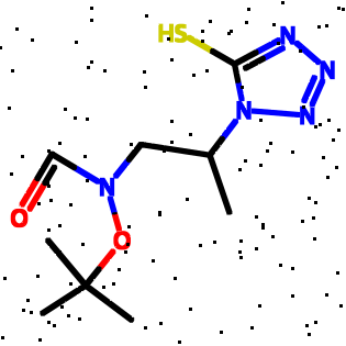 CC(CN(C=O)OC(C)(C)C)n1nnnc1S